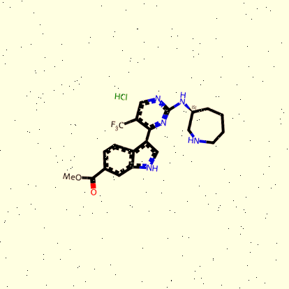 COC(=O)c1ccc2c(-c3nc(N[C@H]4CCCCNC4)ncc3C(F)(F)F)c[nH]c2c1.Cl